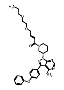 NCCOCCOC/C=C/C(=O)N1CCC[C@@H](n2nc(-c3ccc(Oc4ccccc4)cc3)c3c(N)ncnc32)C1